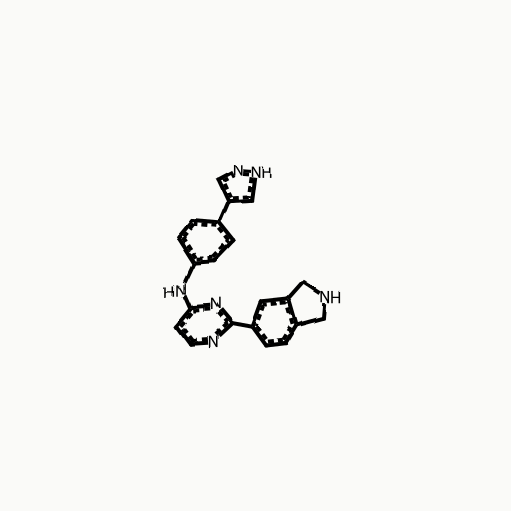 c1cc(Nc2ccc(-c3cn[nH]c3)cc2)nc(-c2ccc3c(c2)CNC3)n1